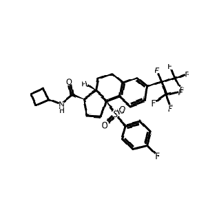 O=C(NC1CCC1)[C@@H]1CC[C@@]2(S(=O)(=O)c3ccc(F)cc3)c3ccc(C(F)(C(F)(F)F)C(F)(F)F)cc3CC[C@@H]12